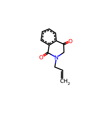 C=CCN1CC(=O)c2ccccc2C1=O